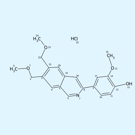 COCc1cc2cnc(-c3ccc(O)c(OC)c3)cc2cc1COC.Cl